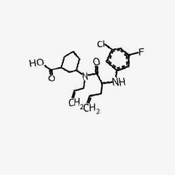 C=CCC(Nc1cc(F)cc(Cl)c1)C(=O)N(CC=C)C1CCCC(C(=O)O)C1